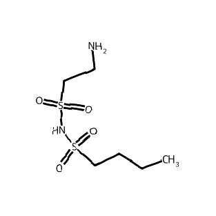 CCCCS(=O)(=O)NS(=O)(=O)CCN